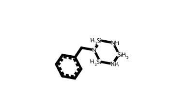 c1ccc(CN2[SiH2]N[SiH2]N[SiH2]2)cc1